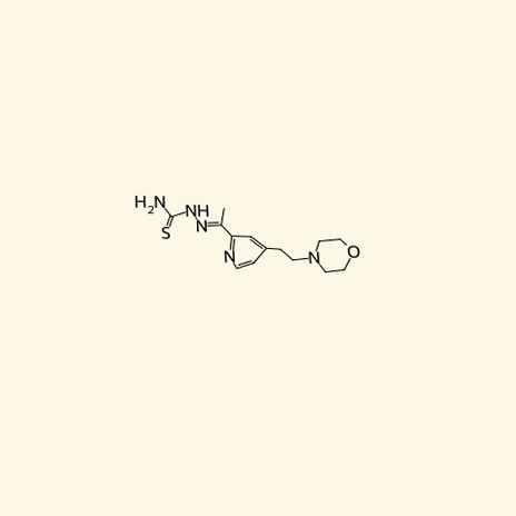 CC(=NNC(N)=S)c1cc(CCN2CCOCC2)ccn1